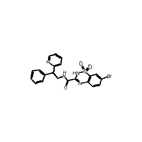 O=C(NCC(c1ccccc1)c1ccccn1)C1=Nc2ccc(Br)cc2S(=O)(=O)N1